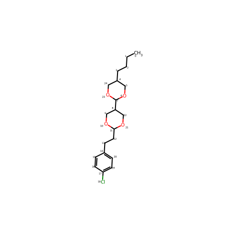 CCCCC1COC(C2COC(CCc3ccc(Cl)cc3)OC2)OC1